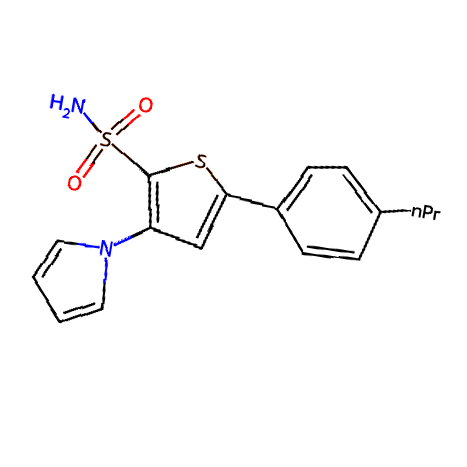 CCCc1ccc(-c2cc(-n3cccc3)c(S(N)(=O)=O)s2)cc1